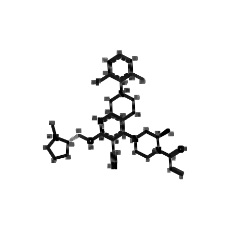 C=CC(=O)N1CCN(c2c(C#N)c(OC[C@@H]3CCCN3C)nc3c2CCN(c2c(C)cccc2F)C3)C[C@H]1C